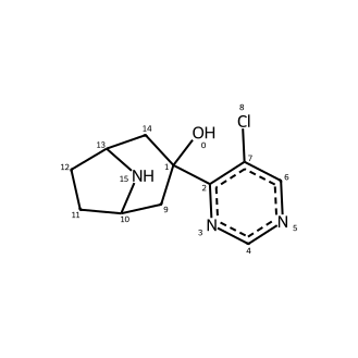 OC1(c2ncncc2Cl)CC2CCC(C1)N2